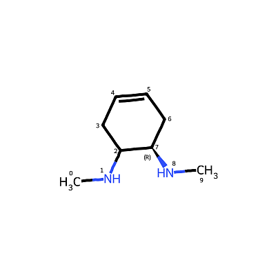 CNC1CC=CC[C@H]1NC